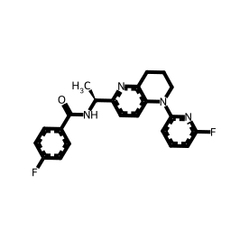 C[C@H](NC(=O)c1ccc(F)cc1)c1ccc2c(n1)CCCN2c1cccc(F)n1